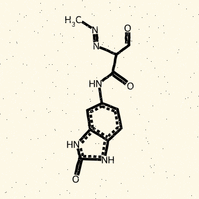 C/N=N/C(C=O)C(=O)Nc1ccc2[nH]c(=O)[nH]c2c1